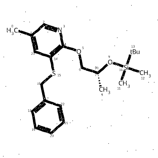 Cc1cnc(OC[C@@H](C)O[Si](C)(C)C(C)(C)C)c(SCc2ccccc2)c1